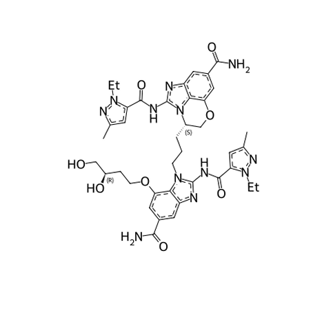 CCn1nc(C)cc1C(=O)Nc1nc2cc(C(N)=O)cc(OCC[C@@H](O)CO)c2n1CCC[C@H]1COc2cc(C(N)=O)cc3nc(NC(=O)c4cc(C)nn4CC)n1c23